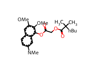 CCCCC(C)(C)C(=O)OCC(=O)Oc1c(OC)c(OC)cc2ccc(NC)cc12